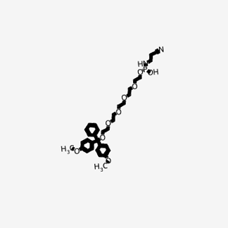 COc1ccc(C(OCCOCCOCCOCCOCCOP(O)NCCC#N)(c2ccccc2)c2ccc(OC)cc2)cc1